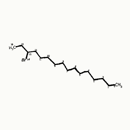 CCCCCCCCCCCCCC(Br)CC